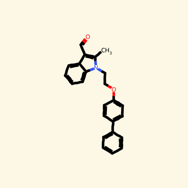 Cc1c(C=O)c2ccccc2n1CCOc1ccc(-c2ccccc2)cc1